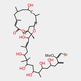 C=C(CC(O)CC(O)C(C)C(O)CC(O)C(C)(C)C(O)C/C(C)=C/C(O)[C@@]1(C)O[C@H]2CC(C)CC(O)CC(C)C/C(C)=C/C(=O)O[C@@H]1C2)/C(=C\Br)OC